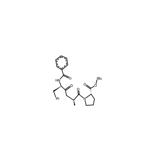 CC(C)C[C@@H](NC(=O)c1ccccc1)C(=O)C[C@H](C)C(=O)N1CCC[C@H]1C(=O)OC(C)(C)C